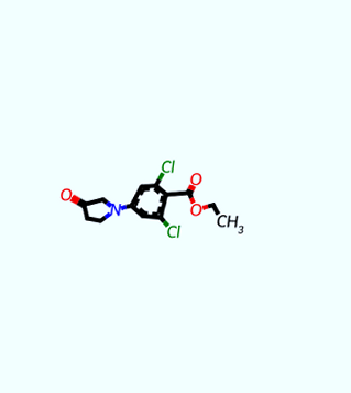 CCOC(=O)c1c(Cl)cc(N2CCC(=O)C2)cc1Cl